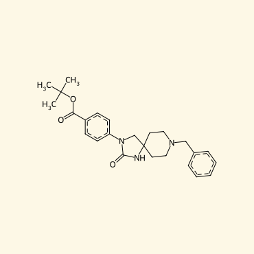 CC(C)(C)OC(=O)c1ccc(N2CC3(CCN(Cc4ccccc4)CC3)NC2=O)cc1